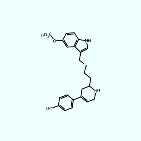 O=C(O)Oc1ccc2[nH]cc(CSCCC3CC(c4ccc(O)cc4)=CCN3)c2c1